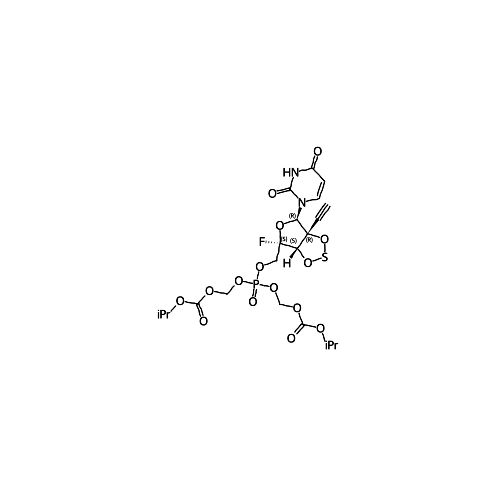 C#C[C@@]12OSO[C@@H]1[C@@](F)(COP(=O)(OCOC(=O)OC(C)C)OCOC(=O)OC(C)C)O[C@H]2n1ccc(=O)[nH]c1=O